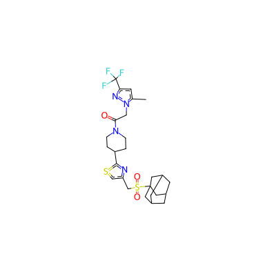 Cc1cc(C(F)(F)F)nn1CC(=O)N1CCC(c2nc(CS(=O)(=O)C34CC5CC(CC(C5)C3)C4)cs2)CC1